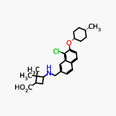 CC1(C)C(NCc2ccc3ccc(O[C@H]4CC[C@@H](C)CC4)c(Cl)c3c2)CC1C(=O)O